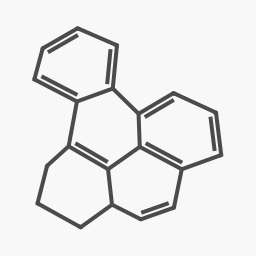 C1=CC2CCCc3c2c2c1cccc2c1ccccc31